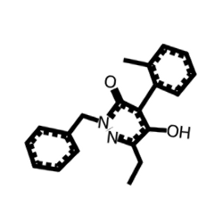 CCc1nn(Cc2ccccc2)c(=O)c(-c2ccccc2C)c1O